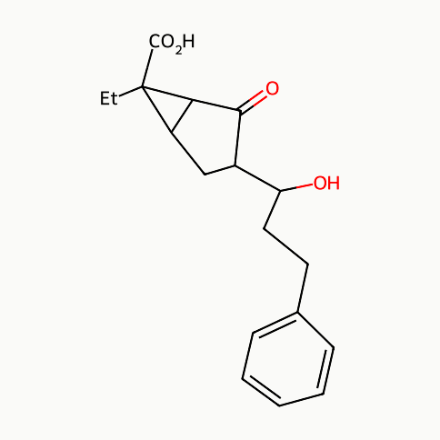 CCC1(C(=O)O)C2CC(C(O)CCc3ccccc3)C(=O)C21